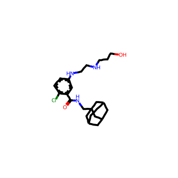 O=C(NCC12CC3CC(CC(C3)C1)C2)c1cc(NCCNCCCO)ccc1Cl